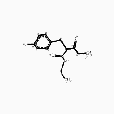 CCOC(=O)C(Cc1ccc(F)cc1)C(=O)CC